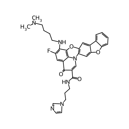 CN(C)CCCCNc1c(F)cc2c(=O)c(C(=O)NCCCn3ccnc3)cn3c2c1Oc1cc2c(cc1-3)oc1ccccc12